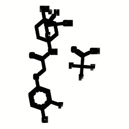 NC12CCC(NC(=O)COc3ccc(Cl)c(F)c3)(CC1)C[C@H]2O.O=C(O)C(F)(F)F